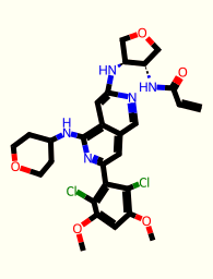 C=CC(=O)N[C@H]1COC[C@H]1Nc1cc2c(NC3CCOCC3)nc(-c3c(Cl)c(OC)cc(OC)c3Cl)cc2cn1